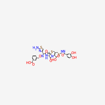 Nc1nc(C(=NOCc2cccc(C(=O)O)c2)C(=O)N[C@@H]2C(=O)N3C(C(=O)O)=C(CSc4nnc(-c5ccc(O)c(O)c5)o4)CS[C@@H]23)cs1